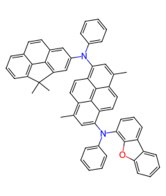 Cc1cc(N(c2ccccc2)c2cc3c4c(ccc5cccc(c54)C3(C)C)c2)c2ccc3c(C)cc(N(c4ccccc4)c4cccc5c4oc4ccccc45)c4ccc1c2c34